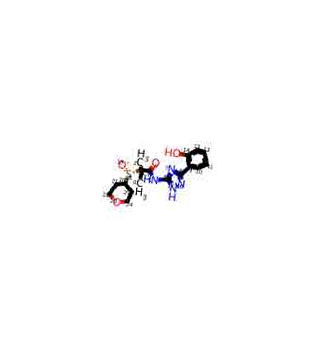 CC(C)(C(=O)Nc1nc(-c2ccccc2O)n[nH]1)[S+]([O-])C1CCOCC1